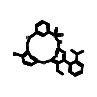 CCc1c2nc(nc1-c1ccccc1C(C)C)NS(=O)(=O)c1cccc(c1)NCc1cc(ccc1Cl)O2